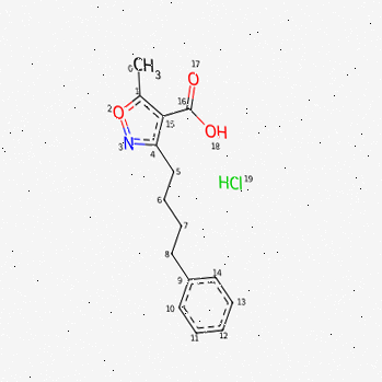 Cc1onc(CCCCc2ccccc2)c1C(=O)O.Cl